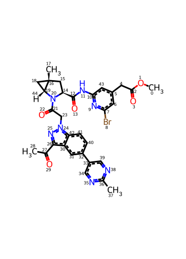 COC(=O)Cc1cc(Br)nc(NC(=O)[C@@H]2C[C@@]3(C)C[C@H]3N2C(=O)Cn2nc(C(C)=O)c3cc(-c4cnc(C)nc4)ccc32)c1